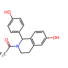 O=C(N1CCc2cc(O)ccc2C1c1ccc(O)cc1)C(F)(F)F